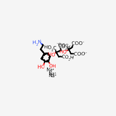 NCCc1ccc(O)c(O)c1.O=C(O)CC(O)(CC(=O)O)C(=O)O.O=C([O-])CC(O)(CC(=O)[O-])C(=O)[O-].[Na+].[Na+].[Na+]